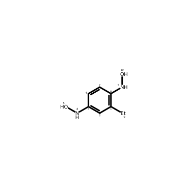 CCc1cc(NO)ccc1NO